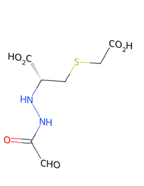 O=CC(=O)NN[C@@H](CSCC(=O)O)C(=O)O